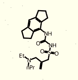 C=C(CN(CC)CCC)CS(=O)(=O)NC(=O)Nc1c2c(cc3c1CCC3)CCC2